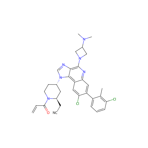 C=CC(=O)N1CC[C@H](n2cnc3c(N4CC(N(C)C)C4)nc4cc(-c5cccc(Cl)c5C)c(Cl)cc4c32)C[C@H]1CC#N